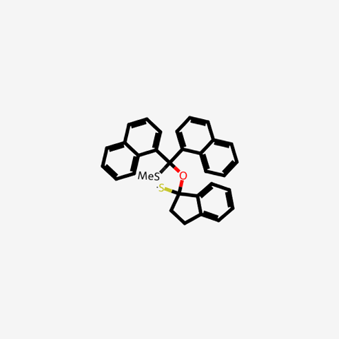 CSC(OC1([S])CCc2ccccc21)(c1cccc2ccccc12)c1cccc2ccccc12